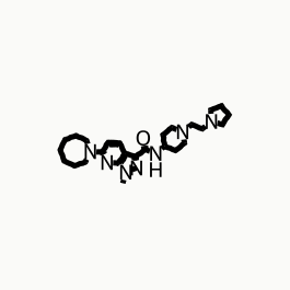 Cn1nc(C(=O)NC2CCN(CCN3CCCC3)CC2)c2ccc(N3CCCCCCC3)nc21